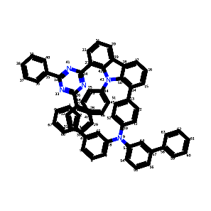 c1ccc(-c2cccc(N(c3ccc(-c4cccc5c6cccc(-c7nc(-c8ccccc8)nc(-c8ccccc8)n7)c6n(-c6ccccc6)c45)cc3)c3cccc(-c4ccccc4)c3)c2)cc1